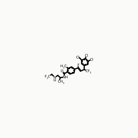 Cc1cc(/C(F)=C/C(c2cc(Cl)c(Cl)c(Cl)c2)C(F)(F)F)ccc1C(=O)NC(C)CNCC(F)(F)F